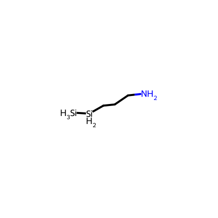 NCCC[SiH2][SiH3]